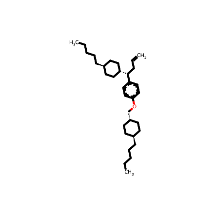 C=CCC(c1ccc(OC[C@H]2CC[C@H](CCCCC)CC2)cc1)[C@H]1CC[C@H](CCCCC)CC1